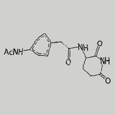 CC(=O)Nc1ccc(CC(=O)NC2CCC(=O)NC2=O)cc1